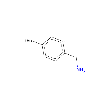 CC(C)(C)c1c[c]c(CN)cc1